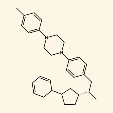 Cc1ccc(N2CCN(c3ccc(CC(C)[C@@H]4CCC(C5C=CC=CC5)C4)cc3)CC2)cc1